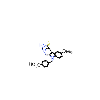 COc1ccc2c(c1)c1c(n2Cc2ccc(C(=O)O)cc2)CN2CNC(=S)C1C2